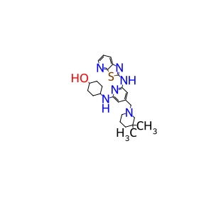 CC1(C)CCCN(Cc2cc(Nc3nc4cccnc4s3)nc(NC3CCC(O)CC3)c2)C1